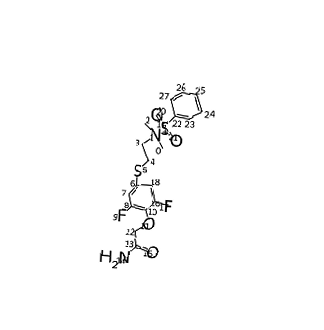 C[N+](C)(CCSc1cc(F)c(OCC(N)=O)c(F)c1)S(=O)(=O)c1ccccc1